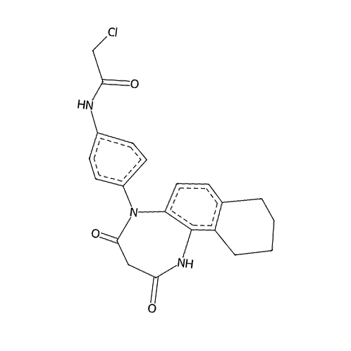 O=C(CCl)Nc1ccc(N2C(=O)CC(=O)Nc3c2ccc2c3CCCC2)cc1